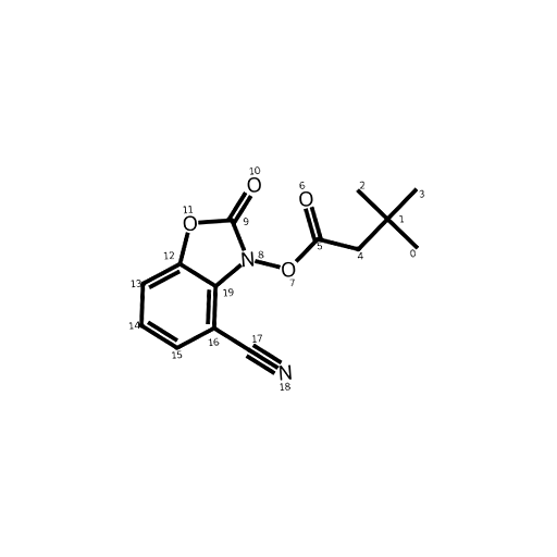 CC(C)(C)CC(=O)On1c(=O)oc2cccc(C#N)c21